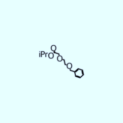 CC(C)OC(=O)COCCOCc1ccccc1